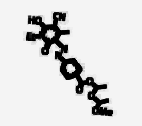 CCn1c(O)c(C#N)c(C)c(N=Nc2ccc(C(=O)OC(C)OC(C)OC)cc2)c1=O